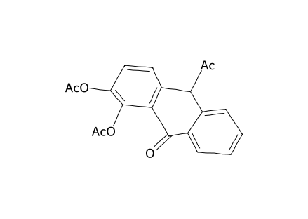 CC(=O)Oc1ccc2c(c1OC(C)=O)C(=O)c1ccccc1C2C(C)=O